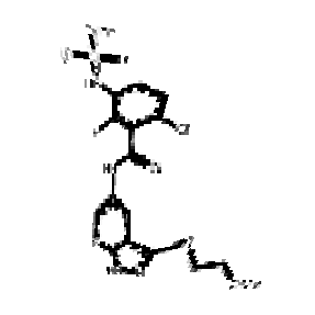 CCC[SH](=O)(P)Nc1ccc(Cl)c(C(=O)Nc2cnc3[nH]nc(OCCOC)c3c2)c1F